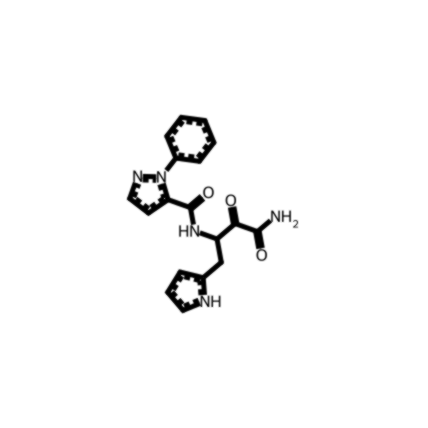 NC(=O)C(=O)C(Cc1ccc[nH]1)NC(=O)c1ccnn1-c1ccccc1